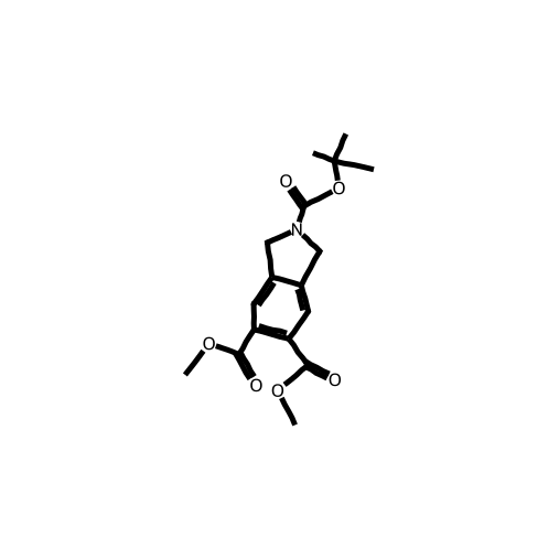 COC(=O)c1cc2c(cc1C(=O)OC)CN(C(=O)OC(C)(C)C)C2